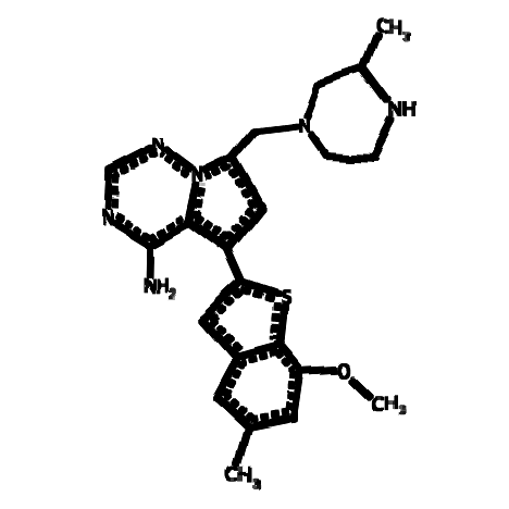 COc1cc(C)cc2cc(-c3cc(CN4CCNC(C)C4)n4ncnc(N)c34)sc12